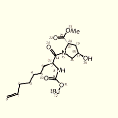 C=CCCCCC[C@H](NC(=O)OC(C)(C)C)C(=O)N1C[C@H](O)C[C@H]1C(=O)OC